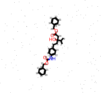 CC(C)C(O)(CCc1ccc(NC(=O)OCc2ccccc2)cc1)CC(=O)OCc1ccccc1